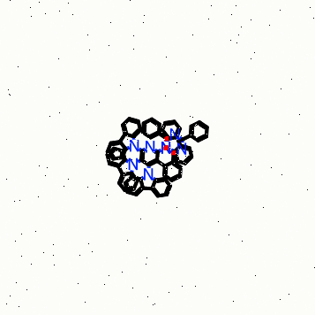 c1ccc(-c2nc(-c3ccccc3)nc(-c3ccccc3-c3c(-n4c5ccccc5c5ccccc54)nc(-n4c5ccccc5c5ccccc54)c(-n4c5ccccc5c5ccccc54)c3-n3c4ccccc4c4ccccc43)n2)cc1